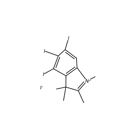 CC1=[N+](C)c2cc(I)c(I)c(I)c2C1(C)C.[I-]